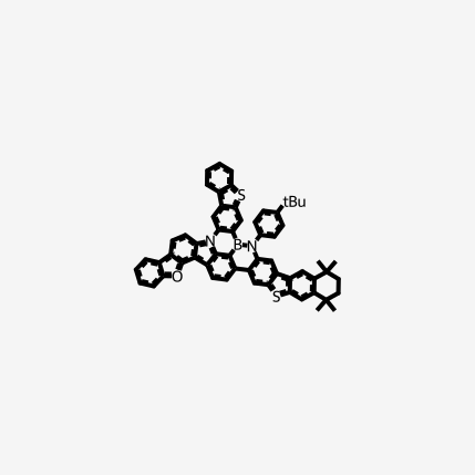 CC(C)(C)c1ccc(N2B3c4cc5sc6ccccc6c5cc4-n4c5ccc6c7ccccc7oc6c5c5ccc(c3c54)-c3cc4sc5cc6c(cc5c4cc32)C(C)(C)CCC6(C)C)cc1